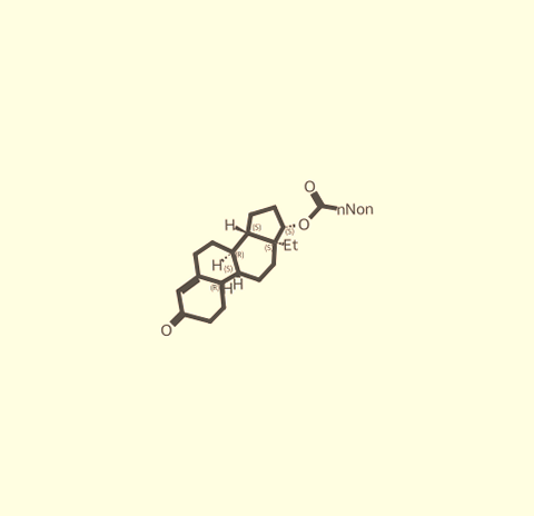 CCCCCCCCCC(=O)O[C@H]1CC[C@H]2[C@@H]3CCC4=CC(=O)CC[C@@H]4[C@H]3CC[C@]12CC